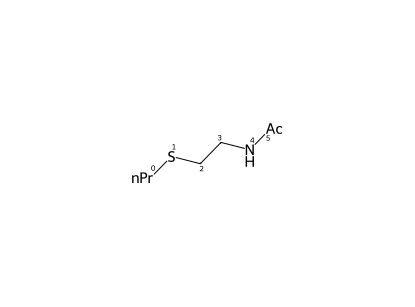 CCCSCCNC(C)=O